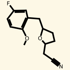 COc1ccc(F)cc1CC1CCC(CC#N)O1